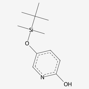 CC(C)(C)[Si](C)(C)Oc1ccc(O)nc1